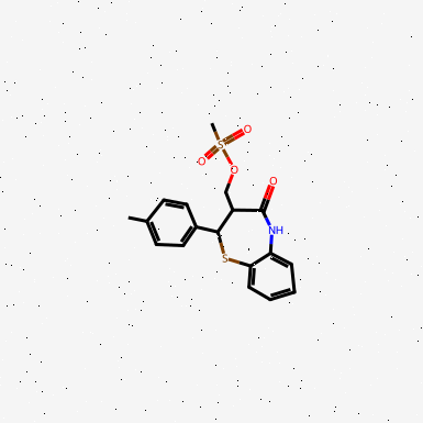 Cc1ccc(C2Sc3ccccc3NC(=O)C2COS(C)(=O)=O)cc1